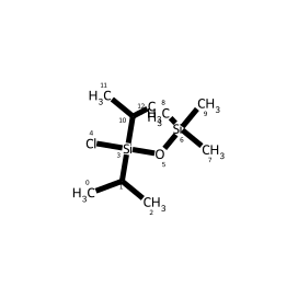 CC(C)[Si](Cl)(O[Si](C)(C)C)C(C)C